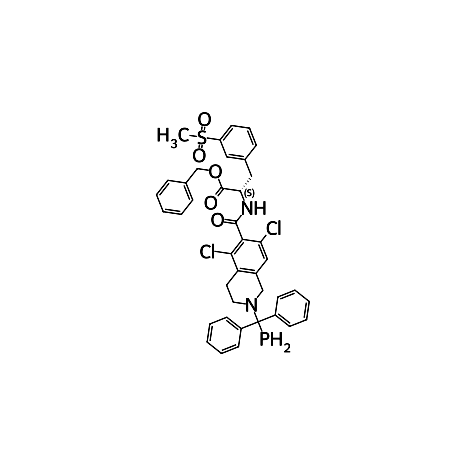 CS(=O)(=O)c1cccc(C[C@H](NC(=O)c2c(Cl)cc3c(c2Cl)CCN(C(P)(c2ccccc2)c2ccccc2)C3)C(=O)OCc2ccccc2)c1